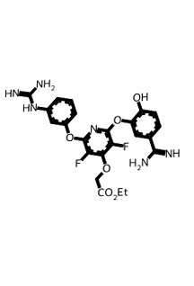 CCOC(=O)COc1c(F)c(Oc2cccc(NC(=N)N)c2)nc(Oc2cc(C(=N)N)ccc2O)c1F